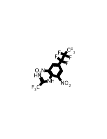 N=C(Nc1c([N+](=O)[O-])cc(C(F)(F)C(F)(F)C(F)(F)F)cc1[N+](=O)[O-])C(F)(F)F